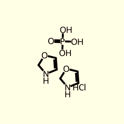 C1=COCN1.C1=COCN1.Cl.O=P(O)(O)O